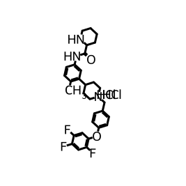 Cc1ccc(NC(=O)C2CCCCN2)cc1C1CCN(Cc2ccc(Oc3cc(F)c(F)cc3F)cc2)CC1.Cl.Cl